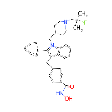 CC(C)(F)CN1CCC(Cn2c(-c3ccccc3)c(Cc3ccc(C(=O)NO)cc3)c3ccccc32)CC1